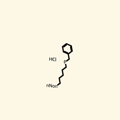 CCCCCCCCCCCCCC[P]Cc1ccccc1.Cl